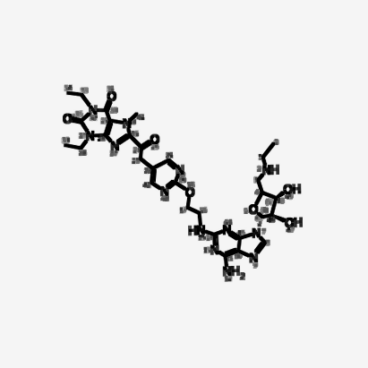 CCNCC1O[C@@H](n2cnc3c(N)nc(NCCOc4ncc(CC(=O)c5nc6c(c(=O)n(CC)c(=O)n6CC)n5C)cn4)nc32)[C@H](O)[C@@H]1O